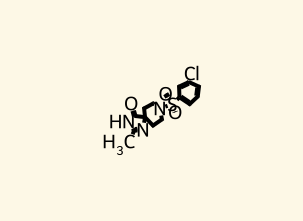 CC1=NC2(CCN(S(=O)(=O)c3cccc(Cl)c3)CC2)C(=O)N1